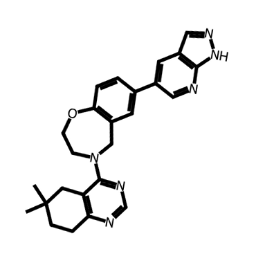 CC1(C)CCc2ncnc(N3CCOc4ccc(-c5cnc6[nH]ncc6c5)cc4C3)c2C1